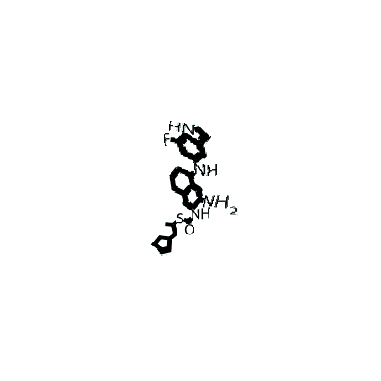 CC(CC1CCCC1)SC(=O)Nc1cc2c(cc1N)C(Nc1cc(F)c3[nH]ccc3c1)CCC2